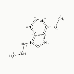 CNNn1cnc2c(OC)ncnc21